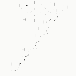 CO[SiH](O[SiH2]O[SiH2]O[SiH2]O[SiH2]O[SiH2]O[SiH2]O[SiH2]O[SiH3])O[Si](OC)(OC)O[Si](OC)(OC)O[Si](OC)(OC)OC